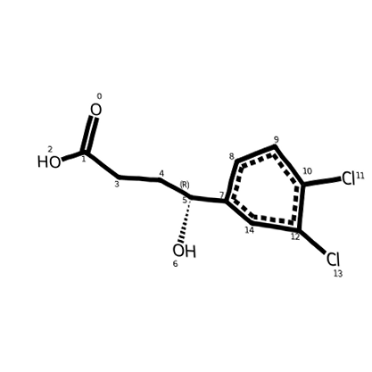 O=C(O)CC[C@@H](O)c1ccc(Cl)c(Cl)c1